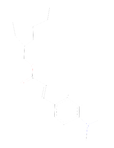 CCCCC(CC)COC(=O)C=Cc1ccc(N(C)C)cc1